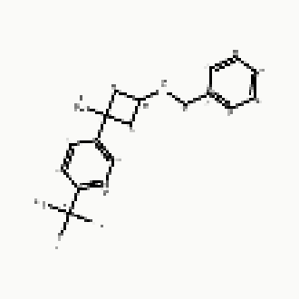 OC1(c2ccc(C(F)(F)F)nc2)CC(OCc2ccccc2)C1